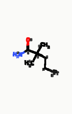 CC(C)CCC(C)(C)C(N)=O